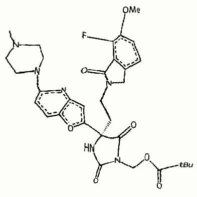 COc1ccc2c(c1F)C(=O)N(CC[C@@]1(c3cc4nc(N5CCN(C)CC5)ccc4o3)NC(=O)N(COC(=O)C(C)(C)C)C1=O)C2